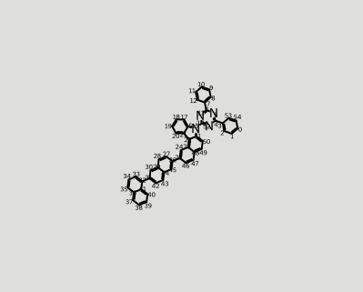 c1ccc(-c2nc(-c3ccccc3)nc(-n3c4ccccc4c4c5cc(-c6ccc7cc(-c8cccc9ccccc89)ccc7c6)ccc5ccc43)n2)cc1